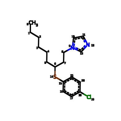 CCCCCCC(CCn1ccnc1)Sc1ccc(Cl)cc1